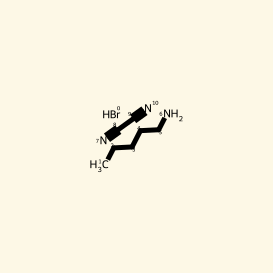 Br.CCCCCN.N#CC#N